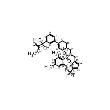 COC(=O)C(C)(C)c1cccc(C2=CCC(CN(Cc3ccc(C(F)(F)F)o3)S(=O)(=O)c3c(C)cc(C)cc3C)CC2)c1